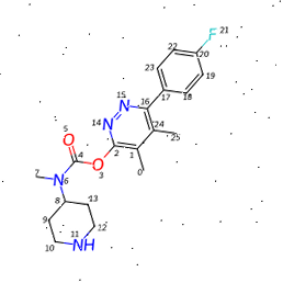 Cc1c(OC(=O)N(C)C2CCNCC2)nnc(-c2ccc(F)cc2)c1C